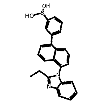 CCc1nc2ccccc2n1-c1cccc2c(-c3cccc(B(O)O)c3)cccc12